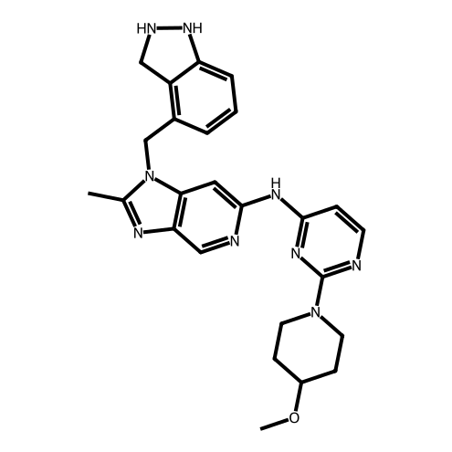 COC1CCN(c2nccc(Nc3cc4c(cn3)nc(C)n4Cc3cccc4c3CNN4)n2)CC1